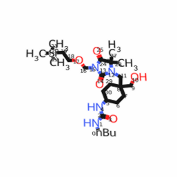 CCCCNC(=O)NC1CCC(CO)(CN2C(=O)N(COCC[Si](C)(C)C)C(=O)C2(C)C)CC1